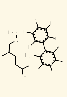 CCCCCCNCC(C)CCC(CC)CCC.Cc1c(F)c(F)c(F)c(C(F)(F)F)c1-c1c(F)c(F)c(F)c(F)c1F